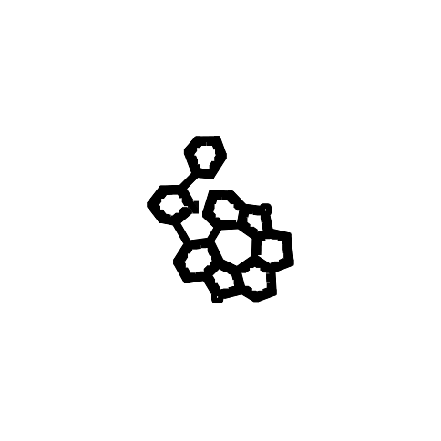 c1ccc(-c2cccc(-c3ccc4oc5ccc6ccc7oc8cccc9c8c7c6c5c4c3-9)n2)cc1